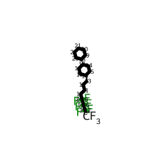 FC(F)(F)C(F)(F)C(F)(F)C(F)(F)CCCC[C@H]1CC[C@H](C2CCCCC2)CC1